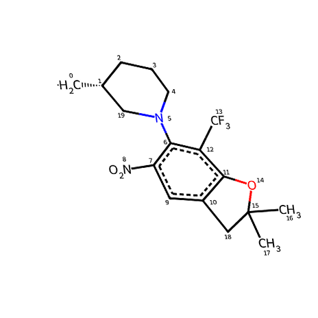 [CH2][C@@H]1CCCN(c2c([N+](=O)[O-])cc3c(c2C(F)(F)F)OC(C)(C)C3)C1